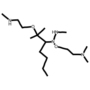 CCCCC(N(NC)OCCN(C)C)C(C)(C)OCCNC